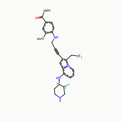 CNC(=O)c1ccc(NCC#Cc2cc3c(N[C@@H]4CCN(C)C[C@@H]4F)cccn3c2CC(F)(F)F)c(OC)c1